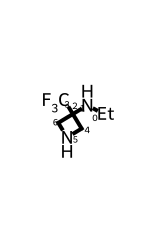 CCNC1(C(F)(F)F)CNC1